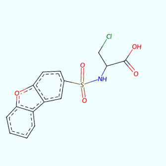 O=C(O)C(CCl)NS(=O)(=O)c1ccc2oc3ccccc3c2c1